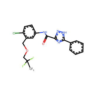 O=C(Nc1ccc(Cl)c(COCC(F)(F)C(F)(F)F)c1)c1n[nH]c(-c2ccccc2)n1